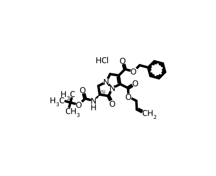 C=CCOC(=O)C1=C(C(=O)OCc2ccccc2)CN2C[C@H](NC(=O)OC(C)(C)C)C(=O)N12.Cl